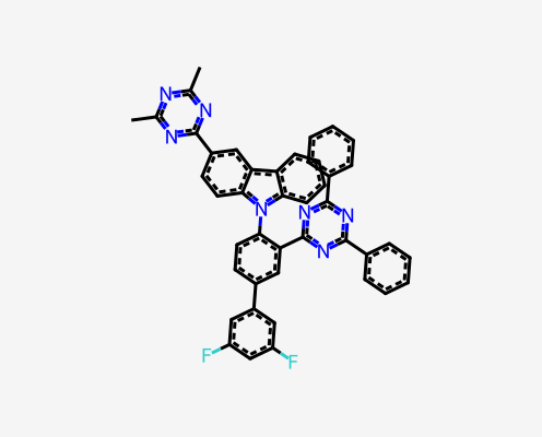 Cc1nc(C)nc(-c2ccc3c(c2)c2ccccc2n3-c2ccc(-c3cc(F)cc(F)c3)cc2-c2nc(-c3ccccc3)nc(-c3ccccc3)n2)n1